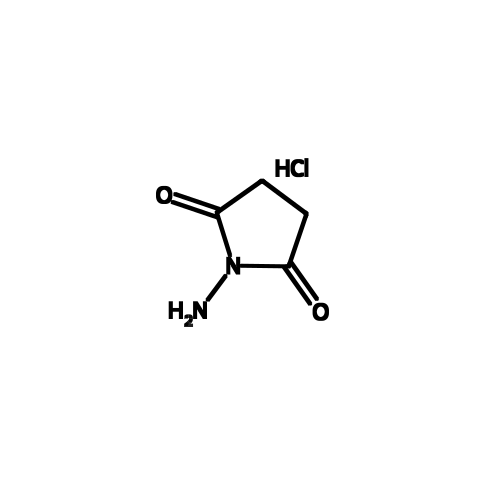 Cl.NN1C(=O)CCC1=O